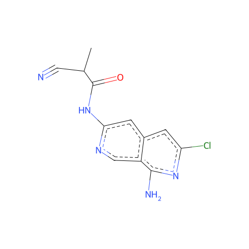 CC(C#N)C(=O)Nc1cc2cc(Cl)nc(N)c2cn1